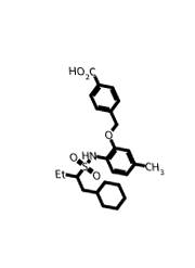 CCC(CC1CCCCC1)S(=O)(=O)Nc1ccc(C)cc1OCc1ccc(C(=O)O)cc1